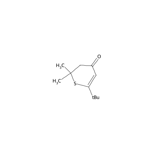 CC1(C)CC(=O)C=C(C(C)(C)C)S1